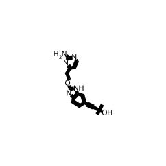 CC(C)(O)C#Cc1ccc2nc(OCCc3ccnc(N)n3)[nH]c2c1